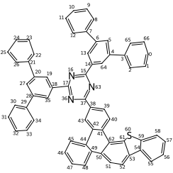 c1ccc(-c2cc(-c3ccccc3)cc(-c3nc(-c4cc(-c5ccccc5)cc(-c5ccccc5)c4)nc(-c4ccc5c(c4)c4ccccc4c4ccc6c7ccccc7sc6c45)n3)c2)cc1